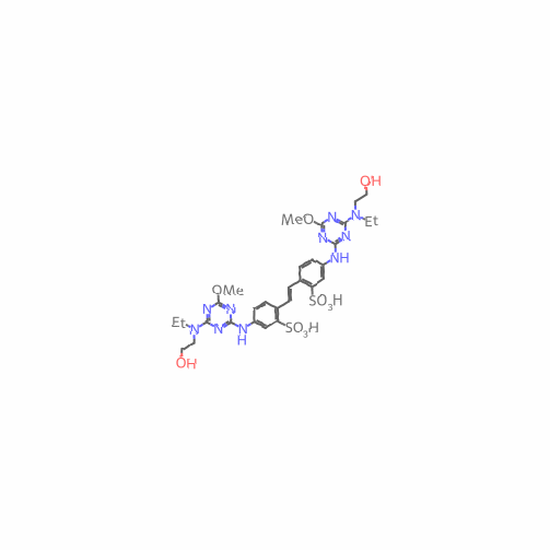 CCN(CCO)c1nc(Nc2ccc(/C=C/c3ccc(Nc4nc(OC)nc(N(CC)CCO)n4)cc3S(=O)(=O)O)c(S(=O)(=O)O)c2)nc(OC)n1